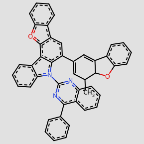 CC1C=C(c2cc3c4ccccc4oc3c3c4ccccc4n(-c4nc(-c5ccccc5)c5ccccc5n4)c23)C=C2c3ccccc3OC21